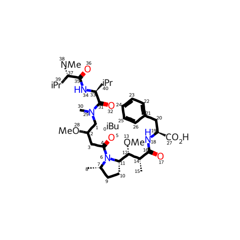 CC[C@H](C)C(C(CC(=O)N1[C@@H](C)CC[C@H]1[C@H](OC)[C@@H](C)C(=O)N[C@@H](Cc1ccccc1)C(=O)O)OC)N(C)C(=O)[C@@H](NC(=O)[C@@H](NC)C(C)C)C(C)C